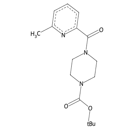 Cc1cccc(C(=O)N2CCN(C(=O)OC(C)(C)C)CC2)n1